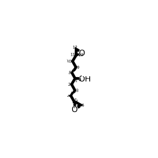 OC(CCCC1CO1)CCCC1CO1